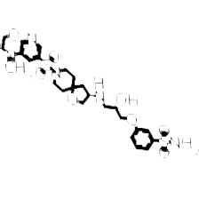 CN1CCOc2ncc(S(=O)(=O)N3CCC4(CC3)C[C@@H](NCC(O)COc3cccc(S(N)(=O)=O)c3)CO4)cc21